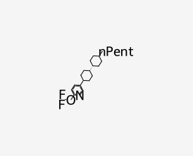 CCCCC[C@H]1CC[C@H](C2CCC(c3ccc(OC(F)F)nc3)CC2)CC1